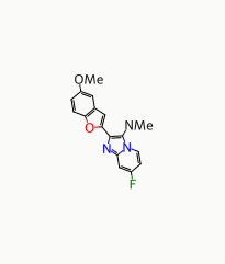 CNc1c(-c2cc3cc(OC)ccc3o2)nc2cc(F)ccn12